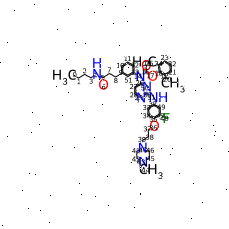 CCCCNC(=O)CCc1cccc(N(C(=O)Oc2c(C)cccc2C)c2ccnc(Nc3ccc(OCCCN4CCN(C)CC4)c(F)c3)n2)c1